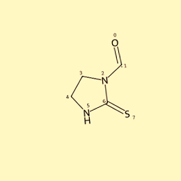 O=[C]N1CCNC1=S